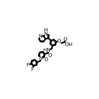 O=C(O)COc1cc(CNC(=O)c2cccn(Cc3ccc(F)c(F)c3)c2=O)cc(C2=CNC3N=CC=CC23)c1